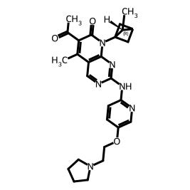 CC(=O)c1c(C)c2cnc(Nc3ccc(OCCN4CCCC4)cn3)nc2n(C23CC(C2)[C@H]3C)c1=O